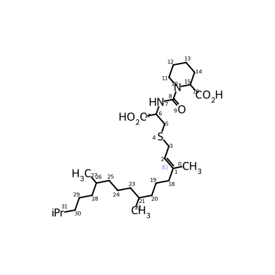 C/C(=C\CSCC(NC(=O)N1CCCCC1C(=O)O)C(=O)O)CCCC(C)CCCC(C)CCCC(C)C